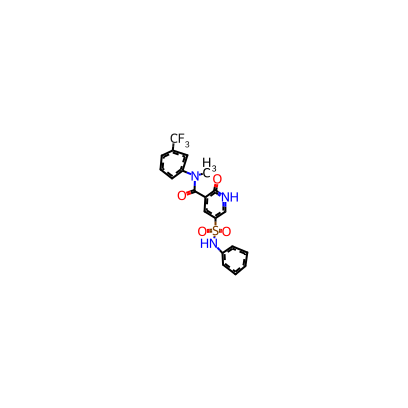 CN(C(=O)c1cc(S(=O)(=O)Nc2ccccc2)c[nH]c1=O)c1cccc(C(F)(F)F)c1